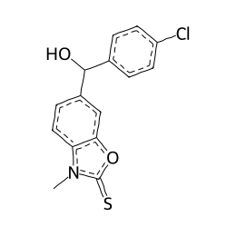 Cn1c(=S)oc2cc(C(O)c3ccc(Cl)cc3)ccc21